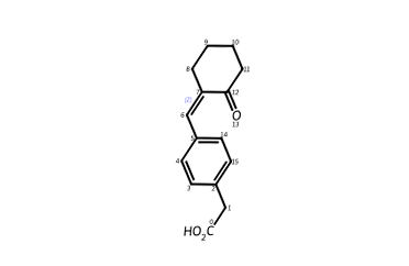 O=C(O)Cc1ccc(/C=C2/CCCCC2=O)cc1